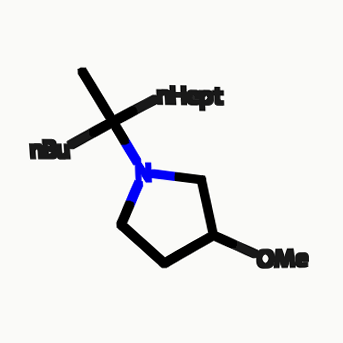 CCCCCCCC(C)(CCCC)N1CCC(OC)C1